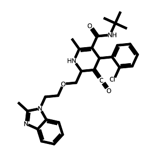 CC1=C(C(=O)NC(C)(C)C)C(c2ccccc2Cl)C(=C=O)C(COCCn2c(C)nc3ccccc32)N1